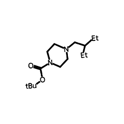 CCC(CC)CN1CCN(C(=O)OC(C)(C)C)CC1